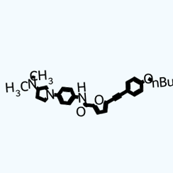 CCCCOc1ccc(C#Cc2ccc(C(=O)Nc3ccc(N4CCC(N(C)C)C4)cc3)o2)cc1